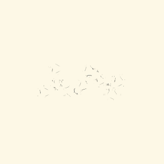 c1ccc(-c2nc(-c3ccccc3)nc(-c3ccc4oc5ccc(-c6cccc7oc8cc(-n9c%10ccccc%10c%10ccccc%109)ccc8c67)cc5c4c3)n2)cc1